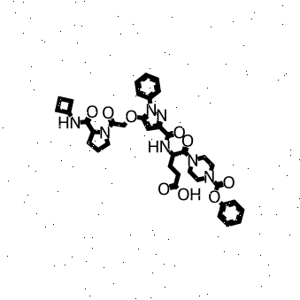 O=C(O)CCC(NC(=O)c1cc(OCC(=O)N2CCCC2C(=O)NC2CCC2)n(-c2ccccc2)n1)C(=O)N1CCN(C(=O)Oc2ccccc2)CC1